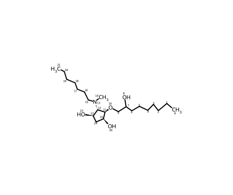 CCCCCCCC(O)CO[C@@H]1[C@@H](N(C)CCCCCCC)[C@H](O)C[C@@H]1O